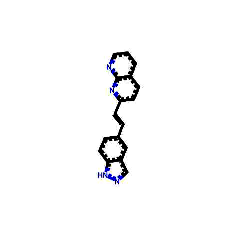 C(=C\c1ccc2cccnc2n1)/c1ccc2[nH]ncc2c1